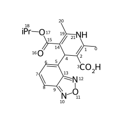 CC1=C(C(=O)O)C(c2cccc3nonc23)C(C(=O)OC(C)C)=C(C)N1